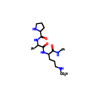 CC(C)NC(=O)C(CCCNC(=O)O)NC(=O)C(NC(=O)C1CCCN1)C(C)C